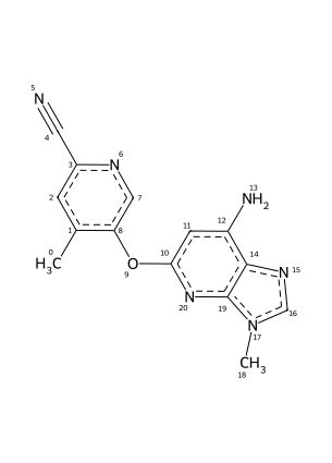 Cc1cc(C#N)ncc1Oc1cc(N)c2ncn(C)c2n1